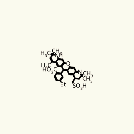 CCc1ccc(C(=O)O)c(C2=c3cc4c(cc3Oc3cc5c(cc32)C(C)=CC(C)(C)N5)=NC(C)(C)CC4CS(=O)(=O)O)c1